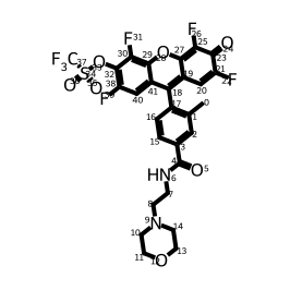 Cc1cc(C(=O)NCCN2CCOCC2)ccc1-c1c2cc(F)c(=O)c(F)c-2oc2c(F)c(OS(=O)(=O)C(F)(F)F)c(F)cc12